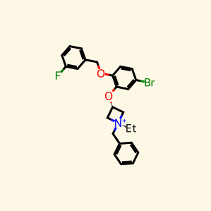 CC[N@+]1(Cc2ccccc2)C[C@H](Oc2cc(Br)ccc2OCc2cccc(F)c2)C1